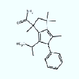 Cc1c2c(c(C(C)C(=O)O)n1-c1ccccc1)C(C)(C(N)=O)CC2(C)C